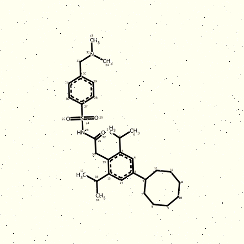 CC(C)c1cc(C2CCCCCCC2)cc(C(C)C)c1CC(=O)NS(=O)(=O)c1ccc(CN(C)C)cc1